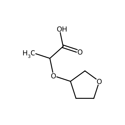 CC(OC1CCOC1)C(=O)O